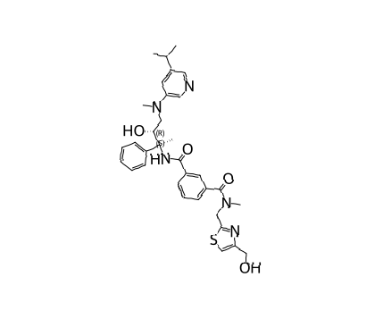 CC(C)c1cncc(N(C)C[C@@H](O)[C@@](C)(NC(=O)c2cccc(C(=O)N(C)Cc3nc(CO)cs3)c2)c2ccccc2)c1